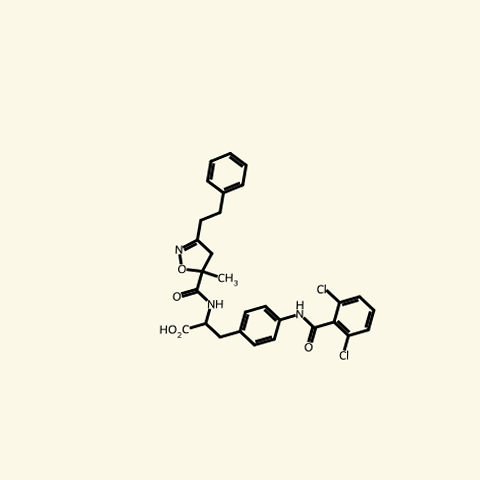 CC1(C(=O)NC(Cc2ccc(NC(=O)c3c(Cl)cccc3Cl)cc2)C(=O)O)CC(CCc2ccccc2)=NO1